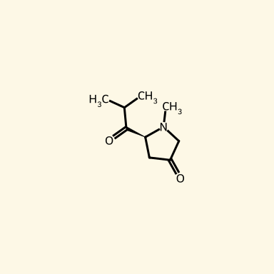 CC(C)C(=O)[C@@H]1CC(=O)CN1C